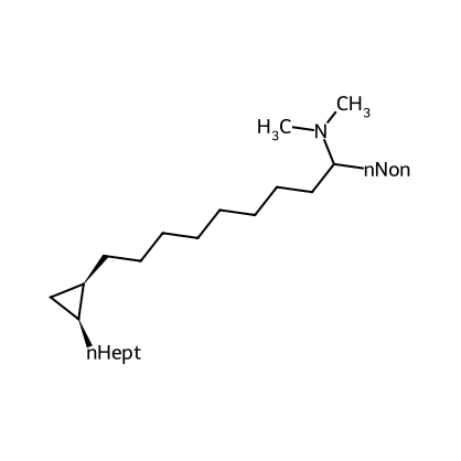 CCCCCCCCCC(CCCCCCCC[C@@H]1C[C@@H]1CCCCCCC)N(C)C